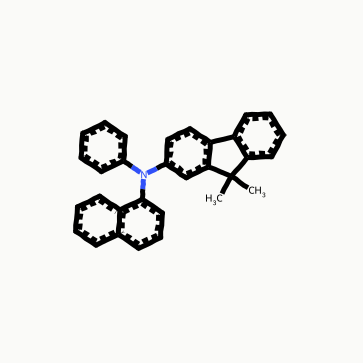 CC1(C)c2c[c]ccc2-c2ccc(N(c3ccccc3)c3cccc4ccccc34)cc21